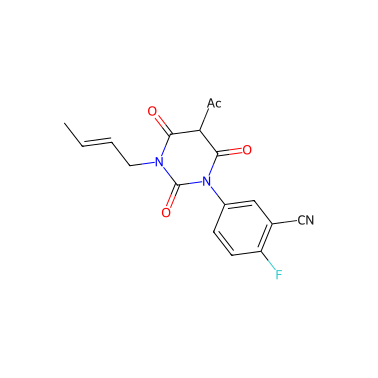 CC=CCN1C(=O)C(C(C)=O)C(=O)N(c2ccc(F)c(C#N)c2)C1=O